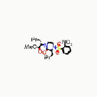 COC(=O)[C@H](CC(C)C)N1CCN(S(=O)(=O)c2ccccc2[N+](=O)[O-])[C@@H](CC(C)C)C1=O